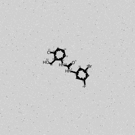 O=C(Nc1cc(F)cc(Br)c1)Nc1cccc(Cl)c1CO